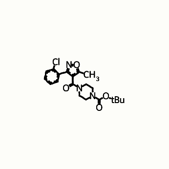 Cc1onc(-c2ccccc2Cl)c1C(=O)N1CCN(C(=O)OC(C)(C)C)CC1